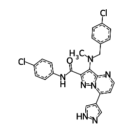 CN(Cc1ccc(Cl)cc1)c1c(C(=O)Nc2ccc(Cl)cc2)nn2c(-c3cn[nH]c3)ccnc12